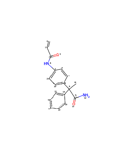 C=CC(=O)Nc1ccc(C(C)(C(N)=O)c2ccccc2)cc1